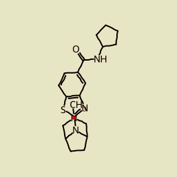 CN1CC2CCC(C1)N2c1nc2cc(C(=O)NC3CCCC3)ccc2s1